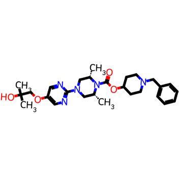 C[C@@H]1CN(c2ncc(OCC(C)(C)O)cn2)C[C@H](C)N1C(=O)OC1CCN(Cc2ccccc2)CC1